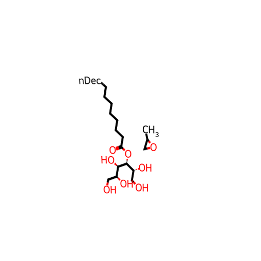 CC1CO1.CCCCCCCCCCCCCCCCCC(=O)O[C@@H]([C@H](O)[C@@H](O)CO)[C@H](O)CO